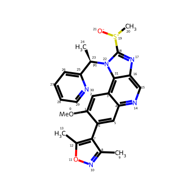 COc1cc2c(cc1-c1c(C)noc1C)ncc1nc([S+](C)[O-])n([C@H](C)c3ccccn3)c12